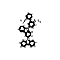 Cc1ccccc1-c1cc(-n2c3ccccc3c3cc(-n4c5ccccc5c5ccccc54)ccc32)ccc1C